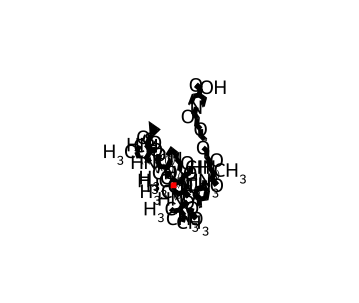 CC[C@H](C)[C@@H]([C@@H](CC(=O)N1CCC[C@H]1[C@H](OC)[C@@H](C)C(=O)N[C@@H](CC(C)C)C(=O)NS(=O)(=O)C1CC1)OC)N(C)C(=O)[C@@H](NC(=O)C(C(C)C)N(C)C(=O)OCc1ccc(NC(=O)[C@H](C)NC(=O)CCOCCOCCC(=O)N2CCC(C(=O)O)CC2)cc1)C(C)C